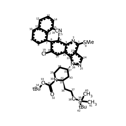 CSc1nc2c(F)c(-c3cccc4cccc(C#N)c34)c(Cl)cc2c2c1cnn2[C@H]1CCN(C(=O)OC(C)(C)C)[C@H](CCO[Si](C)(C)C(C)(C)C)C1